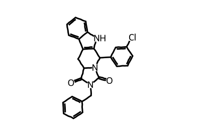 O=C1C2Cc3c([nH]c4ccccc34)C(c3cccc(Cl)c3)N2C(=O)N1Cc1ccccc1